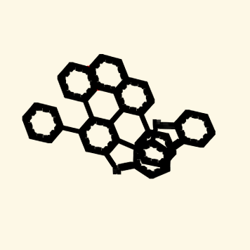 c1ccc(-c2cc3c(c(-c4c(-c5ccccc5)ccc5ccccc45)c2-c2ccccc2)-c2c4c(ccc2=N3)=c2ccccc2=N4)cc1